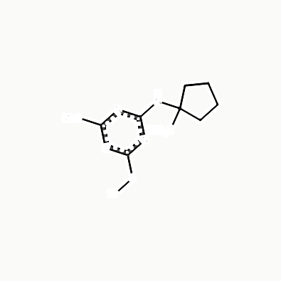 CCOC(=O)C1(Nc2nc(SC)nc(SCC)n2)CCCC1